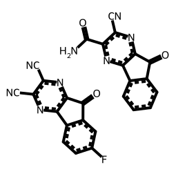 N#Cc1nc2c(nc1C#N)-c1ccc(F)cc1C2=O.N#Cc1nc2c(nc1C(N)=O)-c1ccccc1C2=O